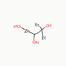 CCC(O)(CC)[CH](O)[Zn][OH]